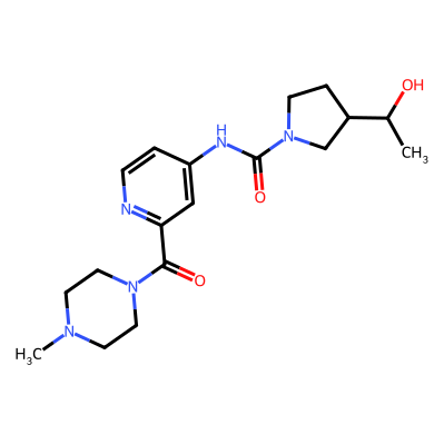 CC(O)C1CCN(C(=O)Nc2ccnc(C(=O)N3CCN(C)CC3)c2)C1